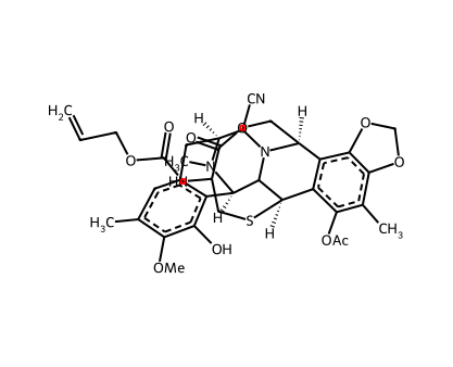 C=CCOC(=O)NC1CS[C@@H]2c3c(OC(C)=O)c(C)c4c(c3[C@H](COC1=O)N1C2[C@H]2c3c(cc(C)c(OC)c3O)C[C@@H](C1C#N)N2C)OCO4